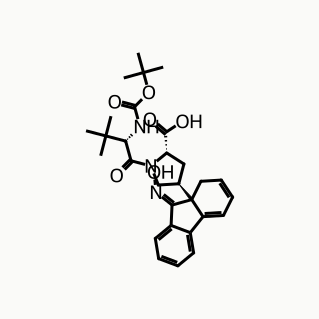 CC(C)(C)OC(=O)N[C@H](C(=O)N1C[C@H](C23CC=CC=C2c2ccccc2/C3=N/O)C[C@H]1C(=O)O)C(C)(C)C